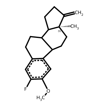 C=C1CCC2C3CCc4cc(F)c(OC)cc4C3CC[C@]12C